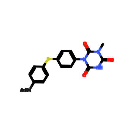 CC(=O)Nc1ccc(Sc2ccc(-n3c(=O)[nH]c(=O)n(C)c3=O)cc2)cc1